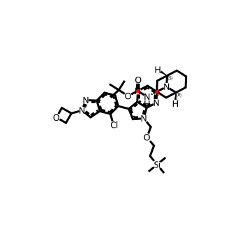 CC(C)(C)OC(=O)N[C@H]1C[C@H]2CCC[C@@H](C1)N2c1cnc2c(-c3ccc4nn(C5COC5)cc4c3Cl)cn(COCC[Si](C)(C)C)c2n1